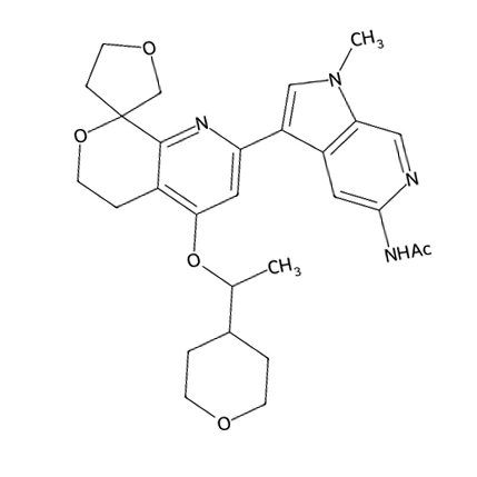 CC(=O)Nc1cc2c(-c3cc(OC(C)C4CCOCC4)c4c(n3)C3(CCOC3)OCC4)cn(C)c2cn1